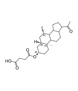 CC(=O)C1CCC2C1CCC1C2[C@H](I)C[C@H]2C[C@H](OC(=O)CCC(=O)O)CC[C@]12C